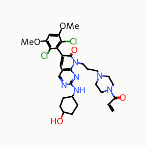 C=CC(=O)N1CCN(CCCn2c(=O)c(-c3c(Cl)c(OC)cc(OC)c3Cl)cc3cnc(NC4CCC(O)CC4)nc32)CC1